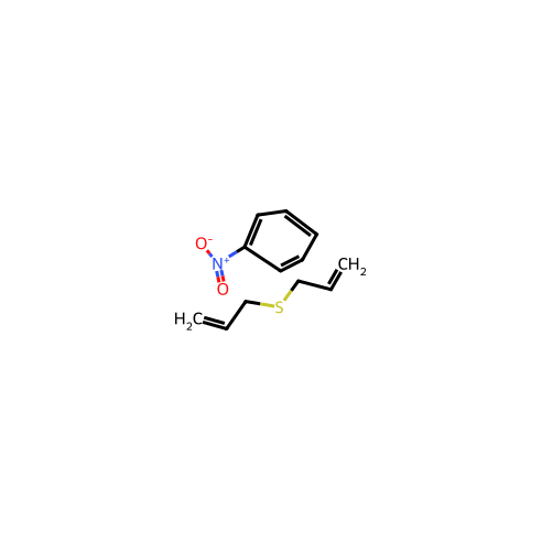 C=CCSCC=C.O=[N+]([O-])c1ccccc1